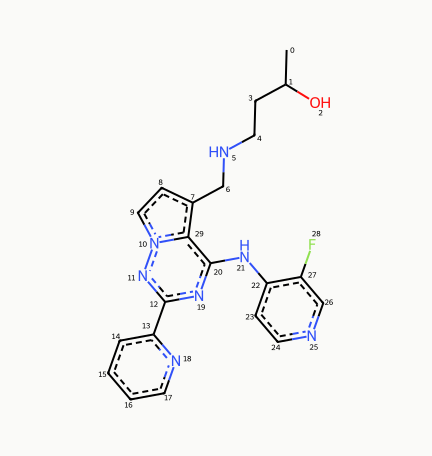 CC(O)CCNCc1ccn2nc(-c3ccccn3)nc(Nc3ccncc3F)c12